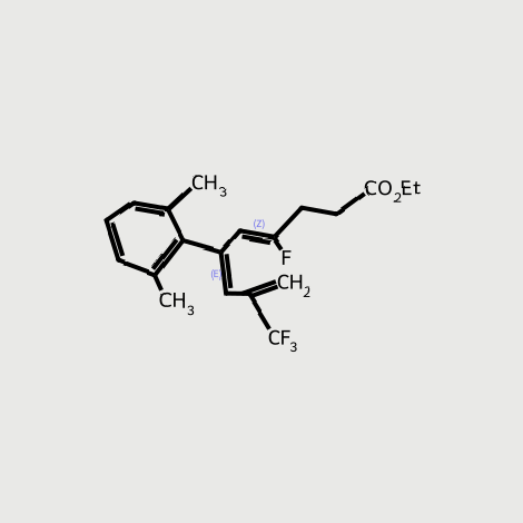 C=C(/C=C(\C=C(/F)CCC(=O)OCC)c1c(C)cccc1C)C(F)(F)F